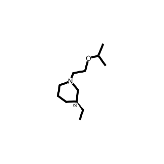 CC[C@H]1CCCN(CCOC(C)C)C1